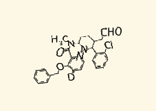 CN1C(=O)c2c(OCc3ccccc3)c(=O)ccn2N2C(c3ccccc3Cl)C(CC=O)CCC12